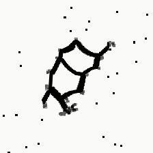 [C-]#[N+]c1cc2cc(F)ccc2cc1C